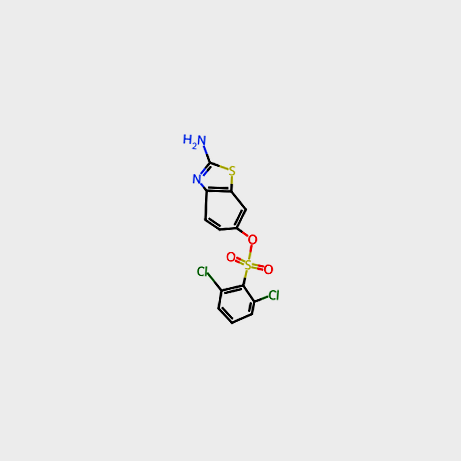 Nc1nc2ccc(OS(=O)(=O)c3c(Cl)cccc3Cl)cc2s1